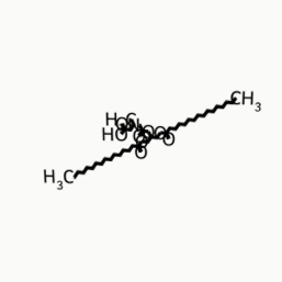 CCCCCCCCCCCCCCCC(=O)OCC(COC(=O)CCCCCCCCCCCCCCC)OC(=O)CN(C)CC(=O)O